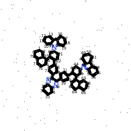 c1ccc2c(-c3cc(-n4c5ccccc5c5ccccc54)ccc3-c3ccc(-c4nc5ccccc5nc4-c4ccc(-c5ccc(-n6c7ccccc7c7ccccc76)cc5-c5cccc6ccccc56)cc4)cc3)cccc2c1